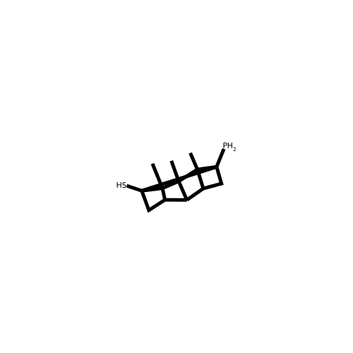 CC12C3CC1(P)C1(S)CC4C3C2(C)C41C